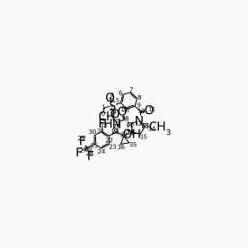 CCS(=O)(=O)c1cccc(C(=O)N2[C@H](C)CC[C@@H]2C(=O)N[C@@H](c2ccc(C(F)(F)F)cc2F)C2(O)CC2)c1